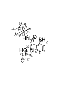 Bc1cccc2c1c(C(=O)NCC13CC4CC(CC(C4)C1)C3)cn2CC1(O)COC1